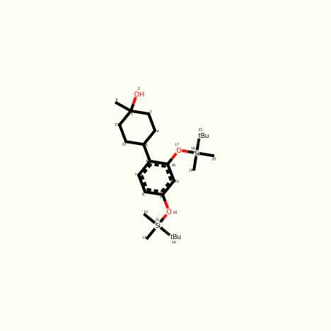 CC1(O)CCC(c2ccc(O[Si](C)(C)C(C)(C)C)cc2O[Si](C)(C)C(C)(C)C)CC1